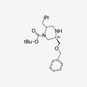 CC(C)CC1CN[C@@H](COCc2ccccc2)CN1C(=O)OC(C)(C)C